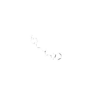 Cc1ccc2nc(NC(=O)CCCN3CCN(C)CC3)sc2c1